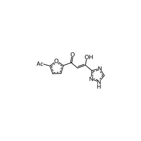 CC(=O)c1ccc(C(=O)C=C(O)c2nc[nH]n2)o1